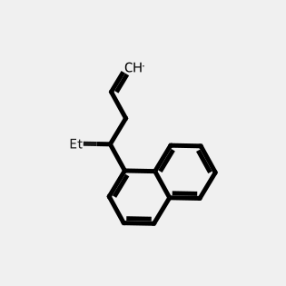 [CH]=CCC(CC)c1cccc2ccccc12